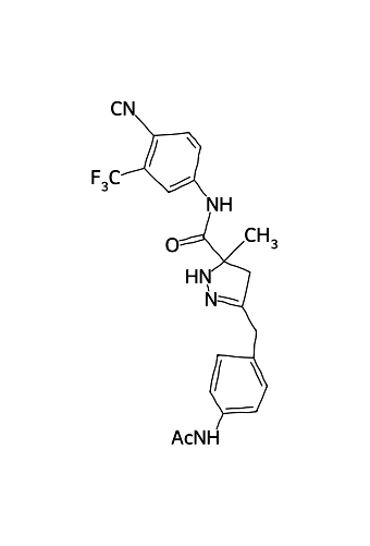 [C-]#[N+]c1ccc(NC(=O)C2(C)CC(Cc3ccc(NC(C)=O)cc3)=NN2)cc1C(F)(F)F